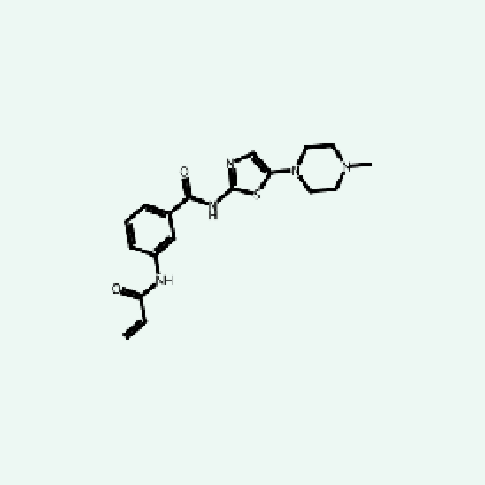 C=CC(=O)Nc1cccc(C(=O)Nc2ncc(N3CCN(C)CC3)s2)c1